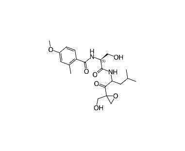 COc1ccc(C(=O)N[C@@H](CO)C(=O)NC(CC(C)C)C(=O)C2(CO)CO2)c(C)c1